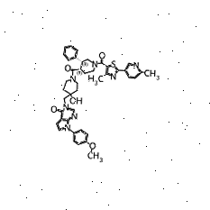 COc1ccc(-n2ccc3c(=O)n(CC4(O)CCN(C(=O)[C@@H]5CCN(C(=O)c6sc(-c7ccc(C)nc7)nc6C)C[C@H]5c5ccccc5)CC4)cnc32)cc1